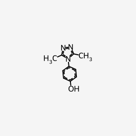 Cc1nnc(C)n1-c1ccc(O)cc1